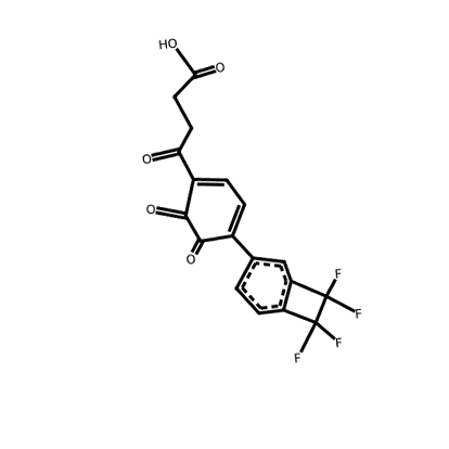 O=C(O)CCC(=O)C1=CC=C(c2ccc3c(c2)C(F)(F)C3(F)F)C(=O)C1=O